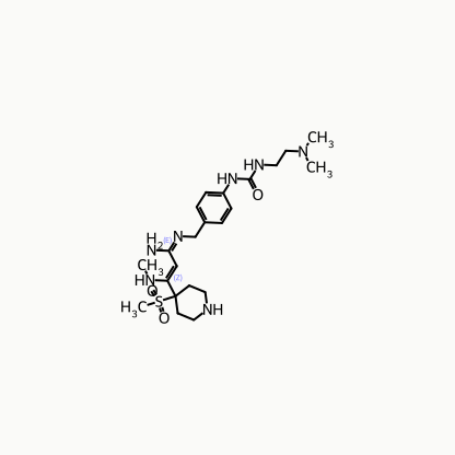 CN/C(=C\C(N)=N/Cc1ccc(NC(=O)NCCN(C)C)cc1)C1(S(C)(=O)=O)CCNCC1